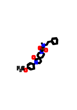 CN(CCc1ccccc1)S(=O)(=O)N1CCC2(CCN(c3ccc(OC(F)(F)F)cc3)C2=O)CC1